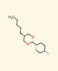 CCCCC[C@H]1CO[C@H]([C@H]2CC[C@H](F)CC2)OC1